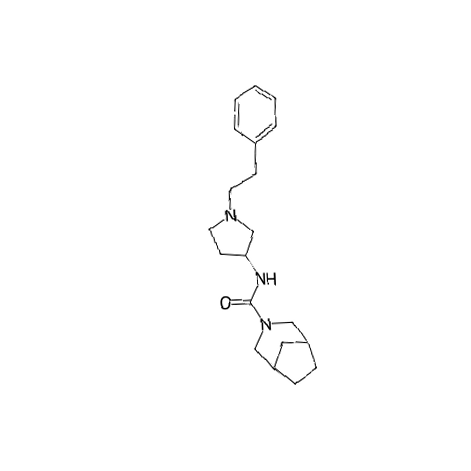 O=C(NC1CCN(CCc2ccccc2)C1)N1CC2CCC(C2)C1